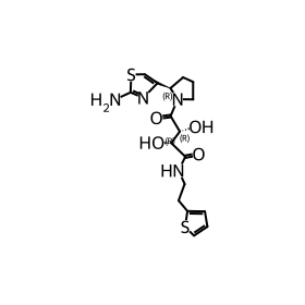 Nc1nc([C@H]2CCCN2C(=O)[C@H](O)[C@@H](O)C(=O)NCCc2cccs2)cs1